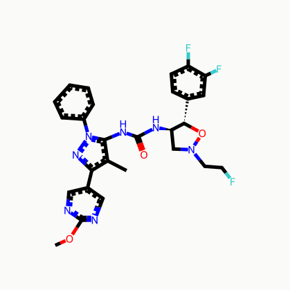 COc1ncc(-c2nn(-c3ccccc3)c(NC(=O)N[C@@H]3CN(CCF)O[C@H]3c3ccc(F)c(F)c3)c2C)cn1